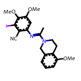 COc1cccc2c1CCN(C(C)=Nc1cc(OC)c(OC)c(I)c1C#N)C2